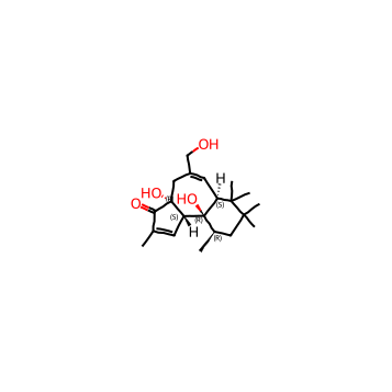 CC1=C[C@H]2[C@@]3(O)[C@H](C)CC(C)(C)C(C)(C)[C@@H]3C=C(CO)C[C@]2(O)C1=O